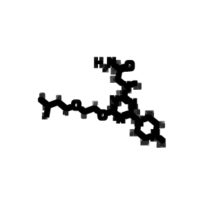 CC(C)CCOCCOc1nc(N(C)CC(N)=O)nc(N2CCN(C)CC2)n1